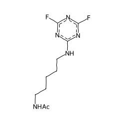 CC(=O)NCCCCCNc1nc(F)nc(F)n1